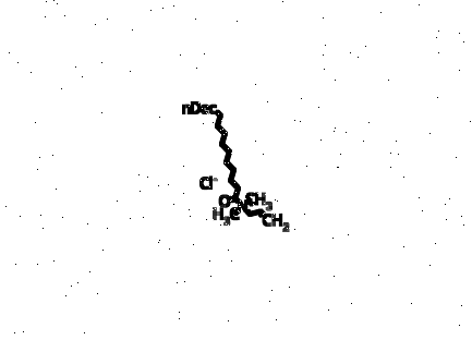 C=CC[N+](C)(C)C(=O)CCCCCCCCCCCCCCCCCCC.[Cl-]